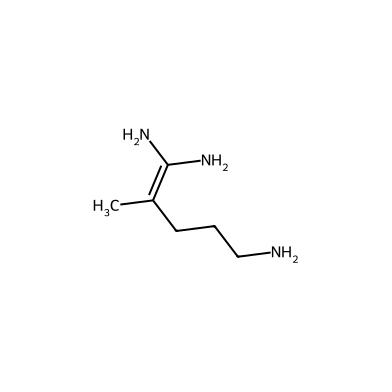 CC(CCCN)=C(N)N